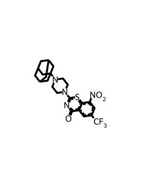 O=c1nc(N2CCN(C34CC5CC(CC(C5)C3)C4)CC2)sc2c([N+](=O)[O-])cc(C(F)(F)F)cc12